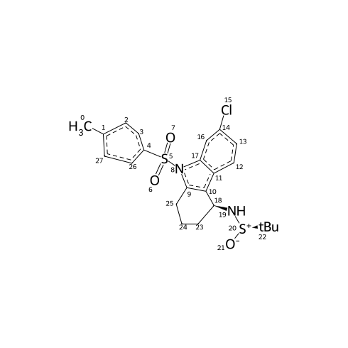 Cc1ccc(S(=O)(=O)n2c3c(c4ccc(Cl)cc42)[C@@H](N[S@+]([O-])C(C)(C)C)CCC3)cc1